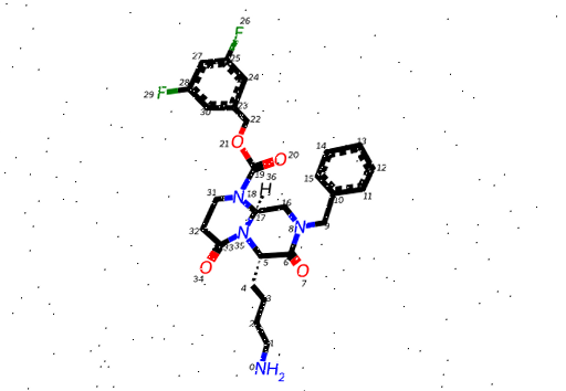 NCCCC[C@H]1C(=O)N(Cc2ccccc2)C[C@@H]2N(C(=O)OCc3cc(F)cc(F)c3)CCC(=O)N21